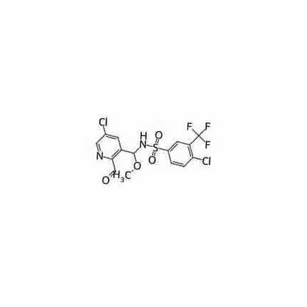 COC(NS(=O)(=O)c1ccc(Cl)c(C(F)(F)F)c1)c1cc(Cl)cnc1C=O